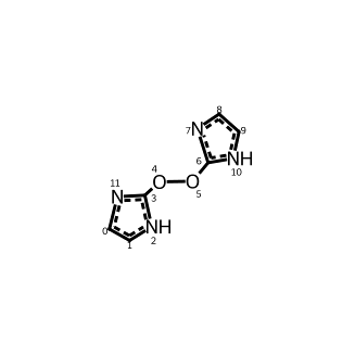 c1c[nH]c(OOc2ncc[nH]2)n1